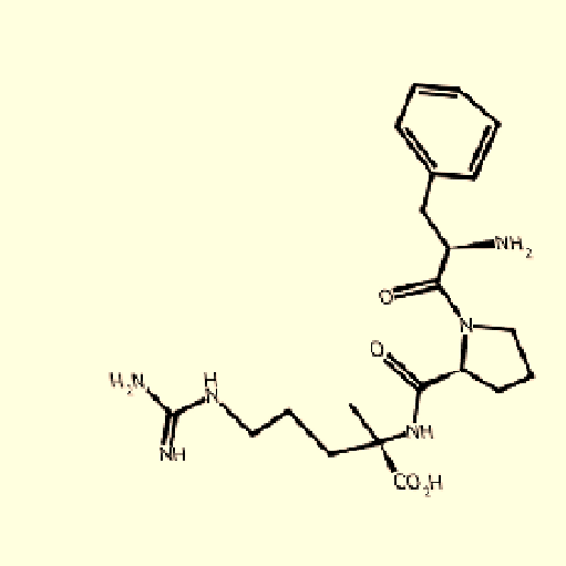 C[C@@](CCCNC(=N)N)(NC(=O)[C@@H]1CCCN1C(=O)[C@H](N)Cc1ccccc1)C(=O)O